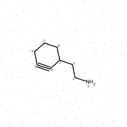 NCCC1C#CCCC1